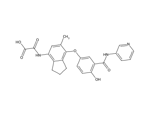 Cc1cc(NC(=O)C(=O)O)c2c(c1Oc1ccc(O)c(C(=O)Nc3cccnc3)c1)CCC2